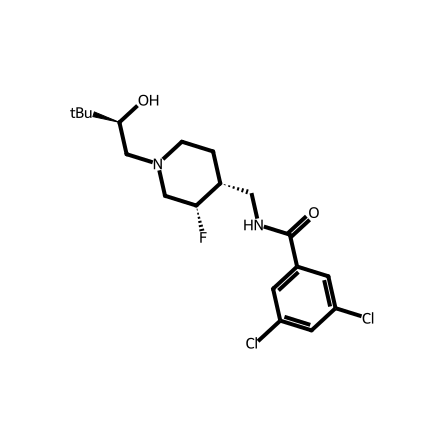 CC(C)(C)[C@@H](O)CN1CC[C@H](CNC(=O)c2cc(Cl)cc(Cl)c2)[C@H](F)C1